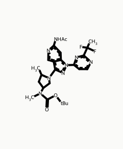 CC(=O)Nc1cc2c(cn1)c(N1CC(N(C)C(=O)OC(C)(C)C)CC1C)nn2-c1ccnc(C(C)(F)F)n1